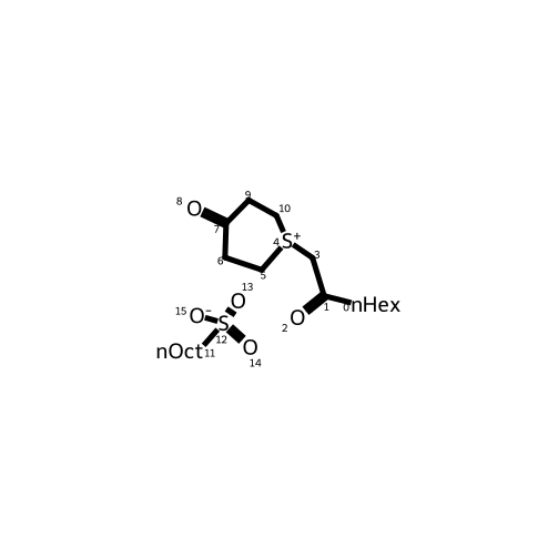 CCCCCCC(=O)C[S+]1CCC(=O)CC1.CCCCCCCCS(=O)(=O)[O-]